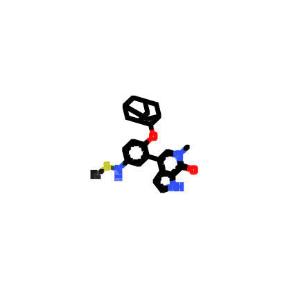 CCSNc1ccc(OC2C3CC4CC(C3)CC2C4)c(-c2cn(C)c(=O)c3[nH]ccc23)c1